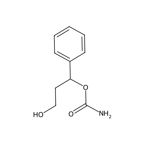 NC(=O)OC(CCO)c1ccccc1